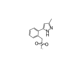 [CH2]S(=O)(=O)Cc1ccccc1-c1cc(C)n[nH]1